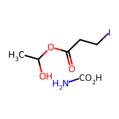 CC(O)OC(=O)CCI.NC(=O)O